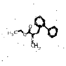 C=C=C(Cc1ccccc1-c1ccccc1)C(=O)OCC